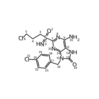 N=S(=O)(CCCCl)c1nc(N)c2[nH]c(=O)n(Cc3ccc(Cl)cc3)c2n1